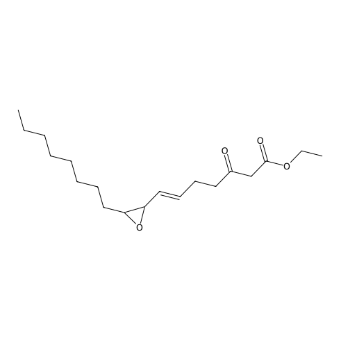 CCCCCCCCC1OC1C=CCCC(=O)CC(=O)OCC